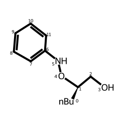 CCCC[C@H](CO)ONc1ccccc1